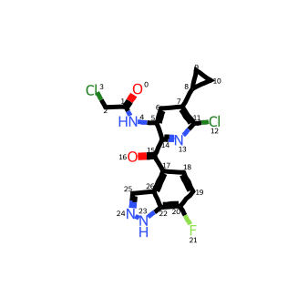 O=C(CCl)Nc1cc(C2CC2)c(Cl)nc1C(=O)c1ccc(F)c2[nH]ncc12